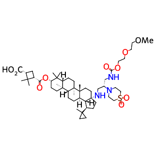 COCCOCCOC(=O)NC[C@@H](CN[C@]12CC[C@@H](C3(C)CC3)[C@@H]1[C@H]1CC[C@@H]3[C@@]4(C)CC[C@H](OC(=O)[C@H]5C[C@@H](C(=O)O)C5(C)C)C(C)(C)[C@@H]4CC[C@@]3(C)[C@]1(C)CC2)N1CCS(=O)(=O)CC1